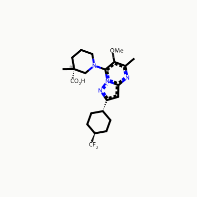 COc1c(C)nc2cc([C@H]3CC[C@H](C(F)(F)F)CC3)nn2c1N1CCC[C@@](C)(C(=O)O)C1